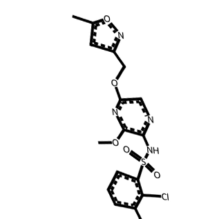 COc1nc(OCc2cc(C)on2)cnc1NS(=O)(=O)c1cccc(Cl)c1Cl